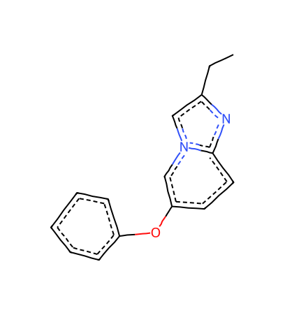 CCc1cn2cc(Oc3ccccc3)ccc2n1